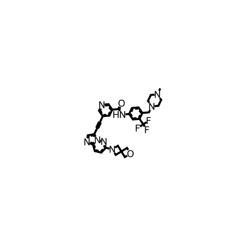 CN1CCN(Cc2ccc(NC(=O)c3cncc(C#Cc4cnc5ccc(N6CC7(COC7)C6)nn45)c3)cc2C(F)(F)F)CC1